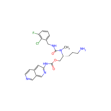 CN(C(=O)NCc1cccc(F)c1Cl)[C@H](CCCN)COC(=O)Nc1cc2ccncc2cn1